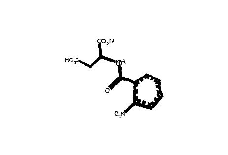 O=C(NC(CS(=O)(=O)O)C(=O)O)c1ccccc1[N+](=O)[O-]